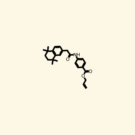 C=CCOC(=O)c1ccc(NC(=O)Cc2ccc3c(c2)C(C)(C)CCC3(C)C)cc1